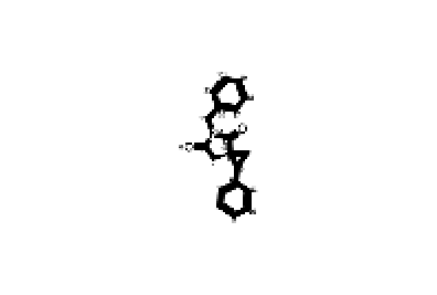 O=C1C[C@]2(CC2c2ccccc2)C(=O)N1Cc1ccccc1